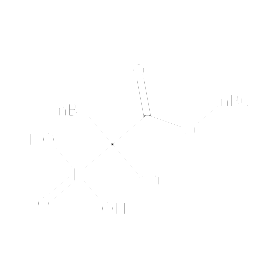 CCCCOC(=O)C(CCC)(CCCC)P(=O)(O)O